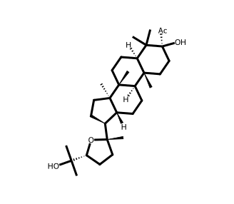 CC(=O)[C@]1(O)CC[C@]2(C)[C@H]3CC[C@@H]4[C@@H]([C@]5(C)CC[C@H](C(C)(C)O)O5)CC[C@@]4(C)[C@]3(C)CC[C@H]2C1(C)C